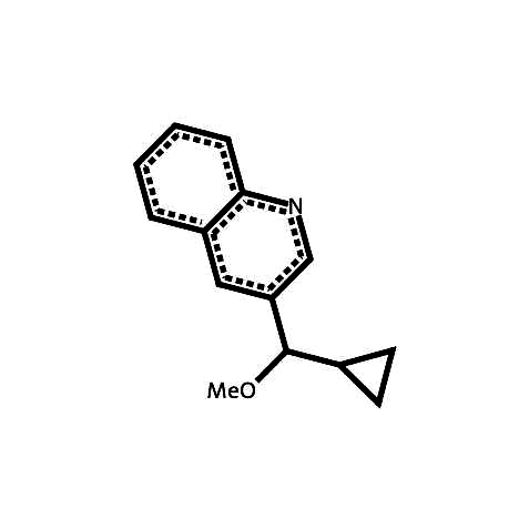 COC(c1cnc2ccccc2c1)C1CC1